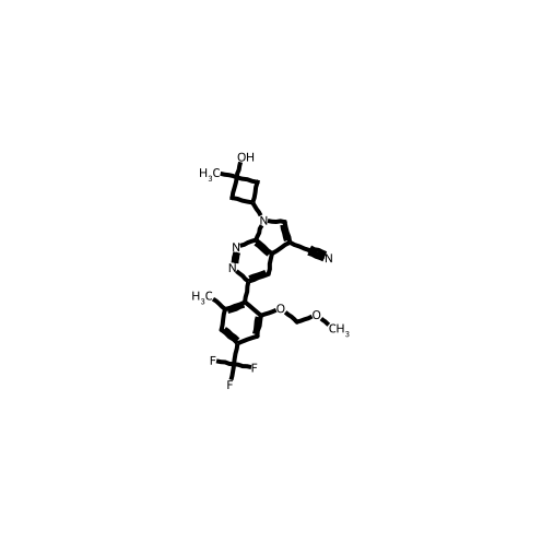 COCOc1cc(C(F)(F)F)cc(C)c1-c1cc2c(C#N)cn(C3CC(C)(O)C3)c2nn1